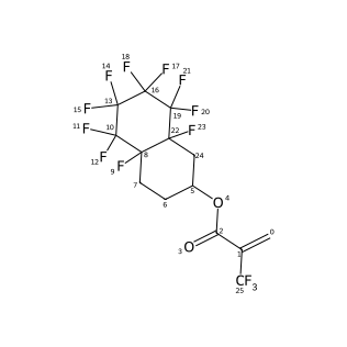 C=C(C(=O)OC1CCC2(F)C(F)(F)C(F)(F)C(F)(F)C(F)(F)C2(F)C1)C(F)(F)F